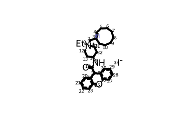 CC[N@+]1(C/C2=C/CCCCCCC2)CC[C@H](NC(=O)C2c3ccccc3Oc3ccccc32)CC1.[I-]